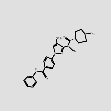 CCOC(=O)c1cn(-c2ccc(C(=O)Nc3ccccc3)cc2)nc1N(C(=O)[C@H]1CC[C@H](C)CC1)C(C)C